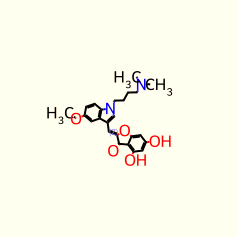 COc1ccc2c(c1)c(/C=C1\Oc3cc(O)cc(O)c3C1=O)cn2CCCCN(C)C